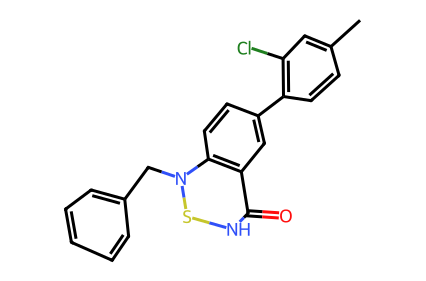 Cc1ccc(-c2ccc3c(c2)C(=O)NSN3Cc2ccccc2)c(Cl)c1